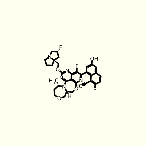 C#Cc1c(F)ccc2cc(O)cc(-c3nc4c5c(nc(OC[C@@]67CCCN6C[C@H](F)C7)nc5c3F)N3[C@@H](COCC[C@@H]3C)CO4)c12